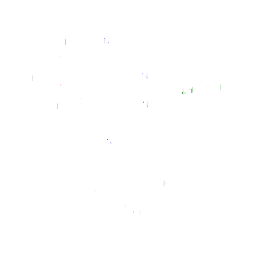 COc1cc(-c2cc(CN3CCN(Cc4ccnc(-c5cc(OC)c(OC)c(OC)c5)c4)[C@@H](C(C)C)C3)ccn2)cc(OC)c1OC.Cl.Cl.Cl